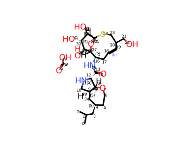 CC(C)C[C@@H]1CCO[C@@H]2[C@H](CN[C@@H]2C(=O)N[C@@H]2C/C=C/C(CO)CS[C@H]3O[C@H]2[C@H](O)[C@H](O)[C@H]3O)C1.O=CO